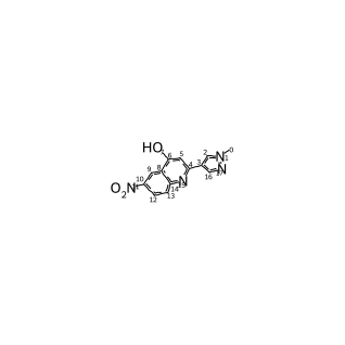 Cn1cc(-c2cc(O)c3cc([N+](=O)[O-])ccc3n2)cn1